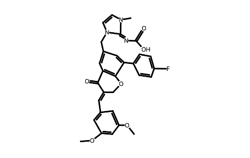 COc1cc(/C=C2\COc3c(cc(Cn4ccn(C)/c4=N\C(=O)O)cc3-c3ccc(F)cc3)C2=O)cc(OC)c1